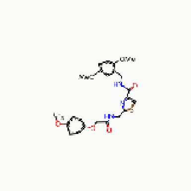 COc1ccc(OC)c(CNC(=O)c2csc(CNC(=O)COc3ccc(OC(F)(F)F)cc3)n2)c1